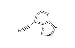 C#Cc1cccc2[c]scc12